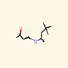 CC(=O)CCNC(C)CC(C)(C)C